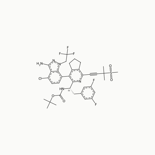 CC(C)(C)OC(=O)N[C@@H](Cc1cc(F)cc(F)c1)c1nc(C#CC(C)(C)S(C)(=O)=O)c2c(c1-c1ccc(Cl)c3c(N)nn(CC(F)(F)F)c13)CCC2